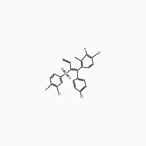 C=C/C(=C(/c1ccc(Cl)cc1)c1ccc(Cl)c(F)c1C)S(=O)(=O)c1ccc(F)c(Cl)c1